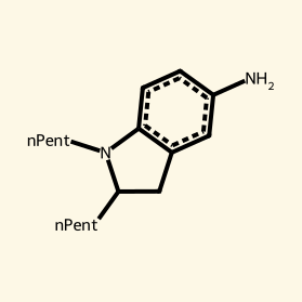 CCCCCC1Cc2cc(N)ccc2N1CCCCC